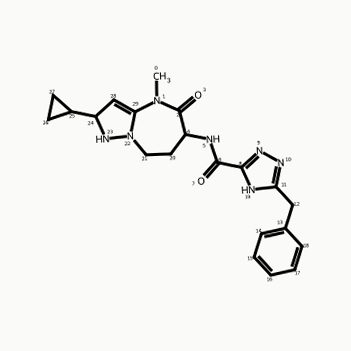 CN1C(=O)C(NC(=O)c2nnc(Cc3ccccc3)[nH]2)CCN2NC(C3CC3)C=C21